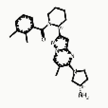 Cc1cn2nc([C@@H]3CCCCN3C(=O)c3cccc(C)c3C)cc2nc1N1CC[C@H](N)C1